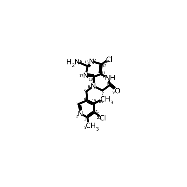 Cc1ncc(CN2CC(=O)Nc3c(Cl)nc(N)nc32)c(C)c1Cl